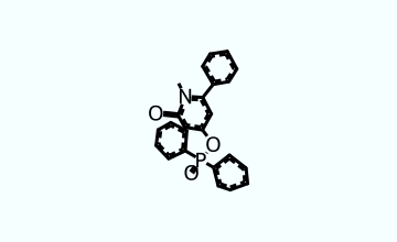 Cn1c(-c2ccccc2)cc(OP(=O)(c2ccccc2)c2ccccc2)cc1=O